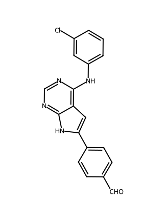 O=Cc1ccc(-c2cc3c(Nc4cccc(Cl)c4)ncnc3[nH]2)cc1